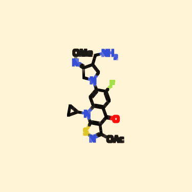 CON=C1CN(c2cc3c(cc2F)c(=O)c2c(OC(C)=O)nsc2n3C2CC2)CC1CN